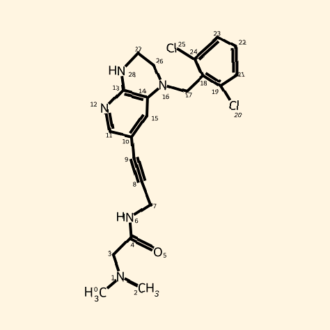 CN(C)CC(=O)NCC#Cc1cnc2c(c1)N(Cc1c(Cl)cccc1Cl)CCN2